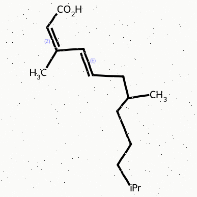 CC(=C/C(=O)O)/C=C/CC(C)CCCC(C)C